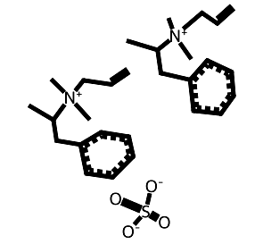 C=CC[N+](C)(C)C(C)Cc1ccccc1.C=CC[N+](C)(C)C(C)Cc1ccccc1.O=S(=O)([O-])[O-]